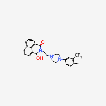 Cc1ccc(N2CCN(CCN3C(=O)c4cccc5cccc(c45)C3O)CC2)cc1C(F)(F)F